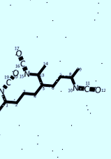 CC(CCCC(CCC(C)N=C=O)C(C)N=C=O)N=C=O